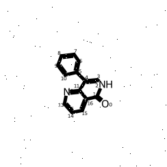 O=c1[nH]cc(-c2ccccc2)c2ncccc12